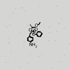 CCOC(=O)[C@H](C)OP(=O)(Cc1ccc(N)cc1)Oc1ccccc1